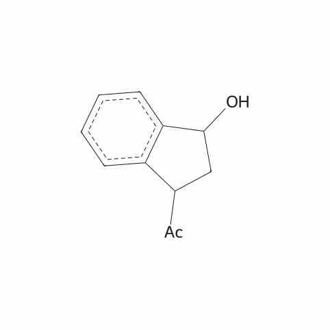 CC(=O)C1CC(O)c2ccccc21